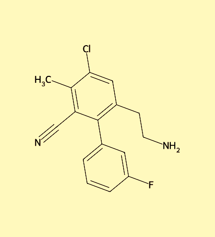 Cc1c(Cl)cc(CCN)c(-c2cccc(F)c2)c1C#N